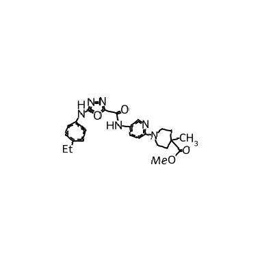 CCc1ccc(Nc2nnc(C(=O)Nc3ccc(N4CCC(C)(C(=O)OC)CC4)nc3)o2)cc1